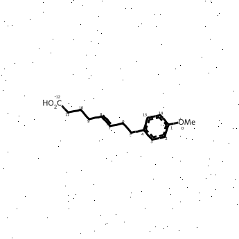 COc1ccc(CCC=CCCCC(=O)O)cc1